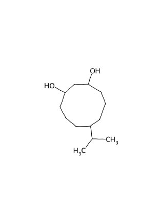 CC(C)C1CCCC(O)CC(O)CCC1